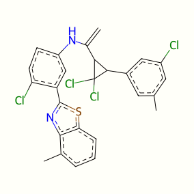 C=C(Nc1ccc(Cl)c(-c2nc3c(C)cccc3s2)c1)C1C(c2cc(C)cc(Cl)c2)C1(Cl)Cl